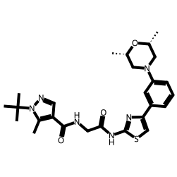 Cc1c(C(=O)NCC(=O)Nc2nc(-c3cccc(N4C[C@@H](C)O[C@@H](C)C4)c3)cs2)cnn1C(C)(C)C